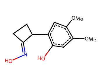 COc1cc(O)c(C2CCC2=NO)cc1OC